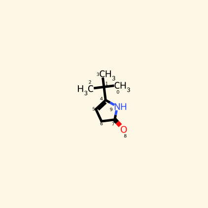 CC(C)(C)C1=CCC(=O)N1